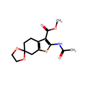 COC(=O)c1c(NC(C)=O)sc2c1CCC1(C2)OCCO1